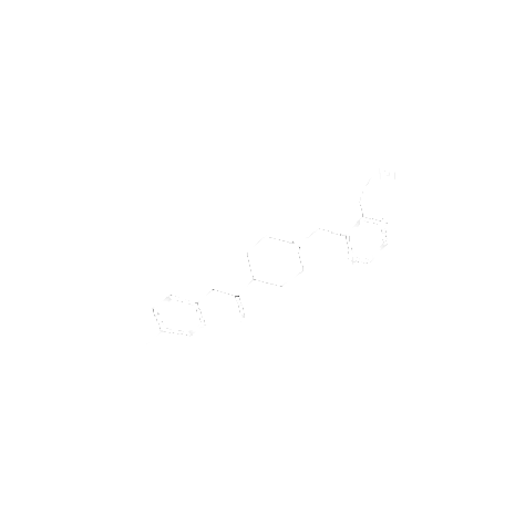 CC(C)(C)Oc1nccnc1CN1CCC(C(=O)Cc2ccc(F)cc2)CC1